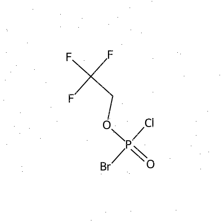 O=P(Cl)(Br)OCC(F)(F)F